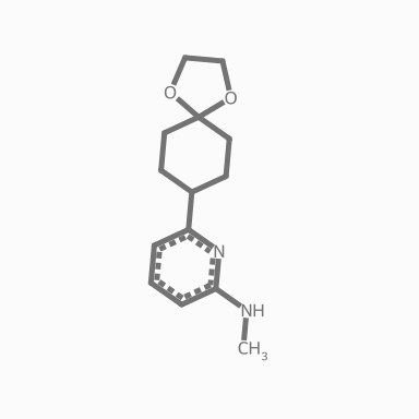 CNc1cccc(C2CCC3(CC2)OCCO3)n1